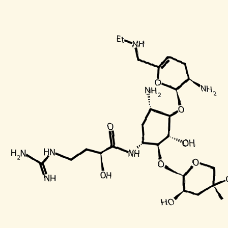 CCNCC1=CC[C@@H](N)[C@@H](OC2[C@@H](N)C[C@@H](NC(=O)[C@@H](O)CCNC(=N)N)[C@H](O[C@H]3OC[C@](C)(O)C[C@H]3O)[C@H]2O)O1